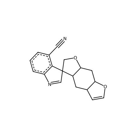 N#Cc1cccc2c1C1(C=N2)COC2CC3OC=CC3CC21